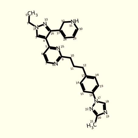 CCn1cc(-c2ccnc(CCCc3ccc(-n4cnc(C)n4)cc3)n2)c(C2=CC=CNC2)n1